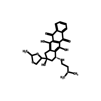 CC1OCC([C@]2(O)Cc3c(O)c4c(c(O)c3[C@H](NCCN(C)C)C2)C(=O)c2ccccc2C4=O)O1